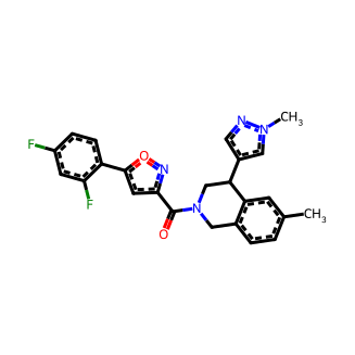 Cc1ccc2c(c1)C(c1cnn(C)c1)CN(C(=O)c1cc(-c3ccc(F)cc3F)on1)C2